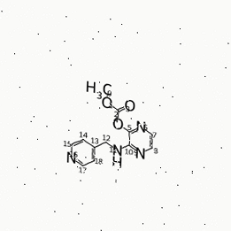 COC(=O)Oc1nccnc1NCc1ccncc1